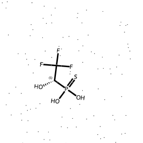 O[C@H](C(F)(F)F)P(O)(O)=S